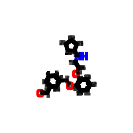 O=Cc1cccc(COc2ccccc2OCCNC2CCCC2)c1